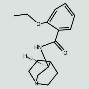 CCOc1ccccc1C(=O)N[C@@H]1CN2CCC1CC2